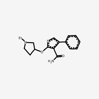 CCN1CCC(Oc2scc(-c3ccccc3)c2C(N)=O)C1